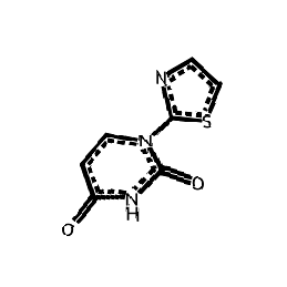 O=c1ccn(-c2nccs2)c(=O)[nH]1